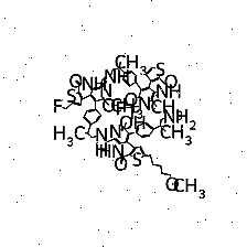 COCCCCCc1cc2c(s1)c(=O)[nH]c1c(CNCC(C)c3ccc(-c4c(OC)nc(CNCC(C)c5ccc(-c6c(OC(F)F)nc(C)c7[nH]c(=O)c8sccc8c67)cc5)c5[nH]c(=O)c6sc(CF)cc6c45)cc3)nc(O)c(-c3ccc(C(C)CN)cc3)c12